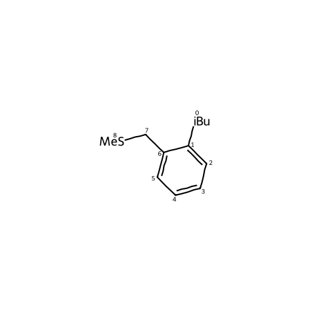 CCC(C)c1ccccc1CSC